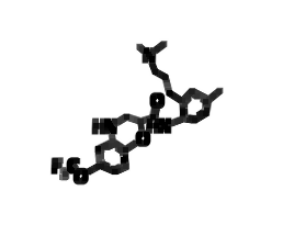 Cc1ccc(NC(=O)C2CNc3cc(OC(F)(F)F)ccc3O2)c(CCCN(C)C)c1